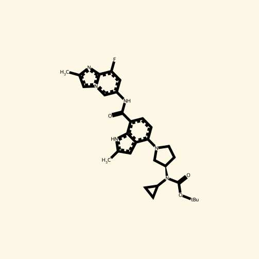 Cc1cn2cc(NC(=O)c3ccc(N4CC[C@@H](N(C(=O)OC(C)(C)C)C5CC5)C4)c4cc(C)[nH]c34)cc(F)c2n1